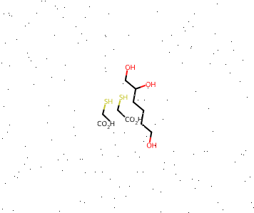 O=C(O)CS.O=C(O)CS.OCCCCC(O)CO